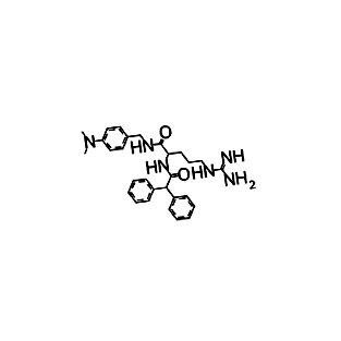 CN(C)c1ccc(CNC(=O)C(CCCNC(=N)N)NC(=O)C(c2ccccc2)c2ccccc2)cc1